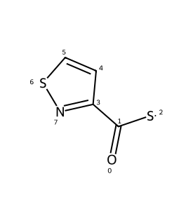 O=C([S])c1ccsn1